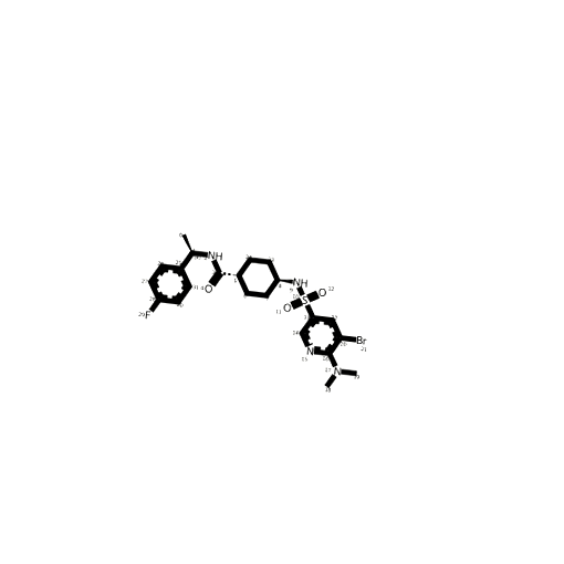 C[C@@H](NC(=O)[C@H]1CC[C@H](NS(=O)(=O)c2cnc(N(C)C)c(Br)c2)CC1)c1ccc(F)cc1